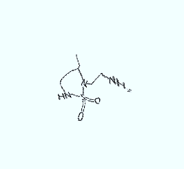 CC1CNS(=O)(=O)N1CN